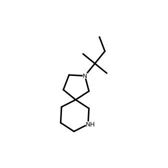 CCC(C)(C)N1CCC2(CCCNC2)C1